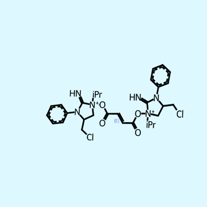 CC(C)[N+]1(OC(=O)/C=C/C(=O)O[N+]2(C(C)C)CC(CCl)N(c3ccccc3)C2=N)CC(CCl)N(c2ccccc2)C1=N